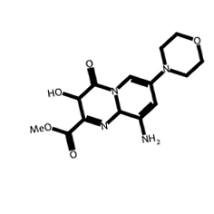 COC(=O)C1=NC2C(N)=CC(N3CCOCC3)=CN2C(=O)C1O